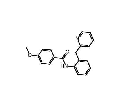 COc1ccc(C(=O)Nc2ccccc2Cc2ccccn2)cc1